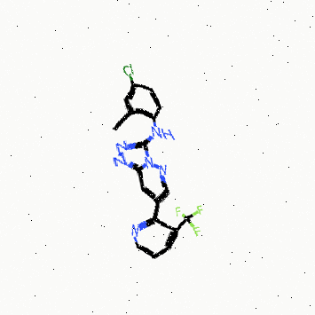 Cc1cc(Cl)ccc1Nc1nnc2cc(-c3ncccc3C(F)(F)F)cnn12